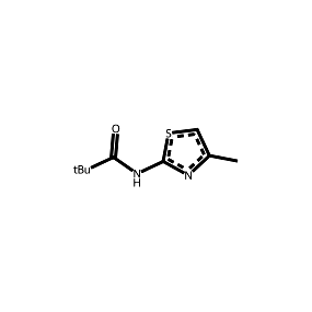 Cc1csc(NC(=O)C(C)(C)C)n1